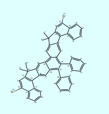 CC1(C)c2cc3c(cc2-c2c1cc(Br)c1ccccc21)c(-c1ccccc1)c(-c1ccccc1)c1cc2c(cc13)C(C)(C)c1cc(Br)c3ccccc3c1-2